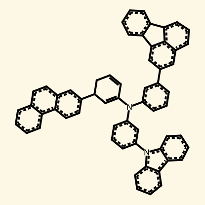 C1=CC(N(c2cccc(-c3cc4c5c(cccc5c3)-c3ccccc3-4)c2)c2cccc(-n3c4ccccc4c4ccccc43)c2)=CC(c2ccc3c(ccc4ccccc43)c2)C1